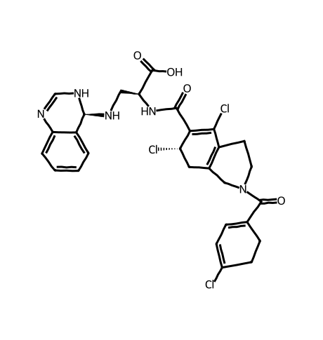 O=C(N[C@@H](CN[C@@H]1NC=Nc2ccccc21)C(=O)O)C1=C(Cl)C2=C(C[C@@H]1Cl)CN(C(=O)C1=CC=C(Cl)CC1)CC2